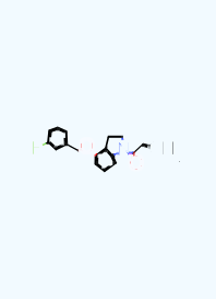 C=CC(=O)N1CCc2c(OCc3cccc(F)c3)cccc21